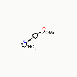 COC(=O)CCc1ccc(C#Cc2ncccc2[N+](=O)[O-])cc1